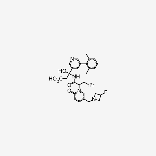 Cc1cccc(C)c1-c1cncc([C@@](O)(CC(=O)O)NC(=O)C(CC(C)C)n2cc(CN3CC(F)C3)ccc2=O)c1